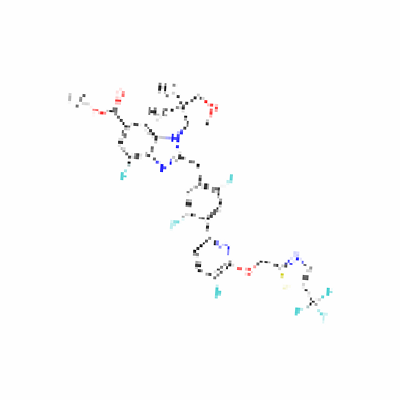 COC(=O)c1cc(F)c2nc(Cc3cc(F)c(-c4ccc(F)c(OCc5ncc(C(F)(F)F)s5)n4)cc3F)n([C@@H]3COCC3(C)C)c2c1